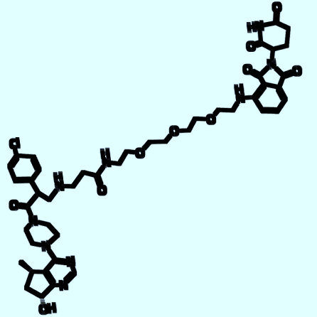 C[C@@H]1C[C@@H](O)c2ncnc(N3CCN(C(=O)C(CNCCC(=O)NCCOCCOCCOCCNc4cccc5c4C(=O)N(C4CCC(=O)NC4=O)C5=O)c4ccc(Cl)cc4)CC3)c21